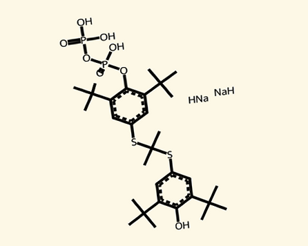 CC(C)(Sc1cc(C(C)(C)C)c(O)c(C(C)(C)C)c1)Sc1cc(C(C)(C)C)c(OP(=O)(O)OP(=O)(O)O)c(C(C)(C)C)c1.[NaH].[NaH]